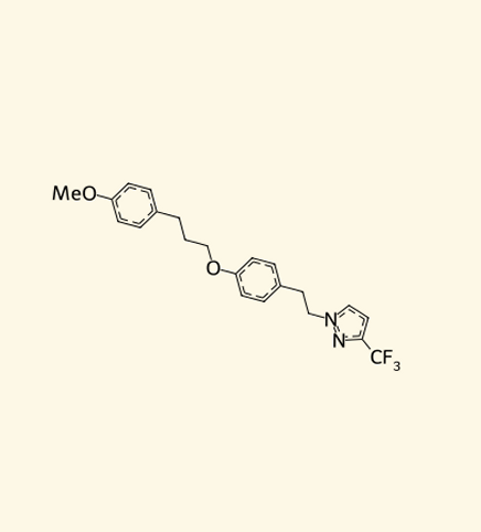 COc1ccc(CCCOc2ccc(CCn3ccc(C(F)(F)F)n3)cc2)cc1